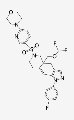 O=S(=O)(c1ccc(N2CCOCC2)nc1)N1CCC2=Cc3c(cnn3-c3ccc(F)cc3)CC2(COC(F)F)C1